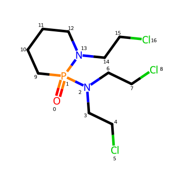 O=P1(N(CCCl)CCCl)CCCCN1CCCl